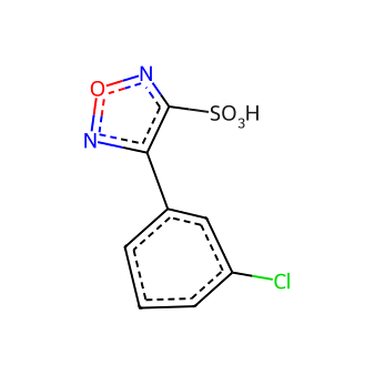 O=S(=O)(O)c1nonc1-c1cccc(Cl)c1